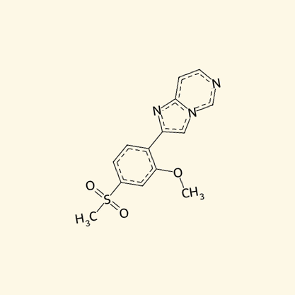 COc1cc(S(C)(=O)=O)ccc1-c1cn2cnccc2n1